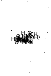 CC(C)[C@H](CO)Nc1nc(NC2CC2)n2ncc(/C=C3\NC(=O)NC3=O)c2n1